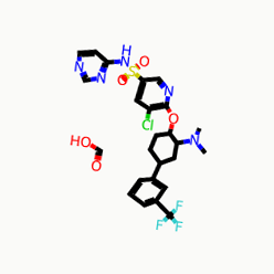 CN(C)C1CC(c2cccc(C(F)(F)F)c2)CCC1Oc1ncc(S(=O)(=O)Nc2ccncn2)cc1Cl.O=CO